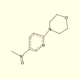 C[N+](=O)c1ccc(N2CCOCC2)nc1